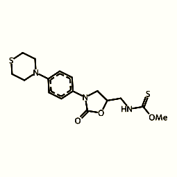 COC(=S)NCC1CN(c2ccc(N3CCSCC3)cc2)C(=O)O1